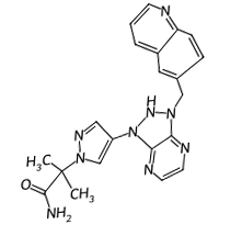 CC(C)(C(N)=O)n1cc(N2NN(Cc3ccc4ncccc4c3)c3nccnc32)cn1